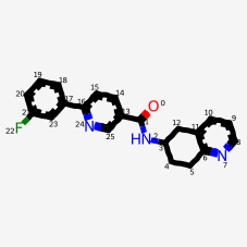 O=C(NC1CCc2ncccc2C1)c1ccc(-c2cccc(F)c2)nc1